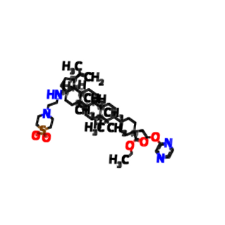 C=C(C)[C@@H]1CC[C@]2(NCCN3CCS(=O)(=O)CC3)CC[C@]3(C)[C@H](CC[C@@H]4[C@@]5(C)CC=C(C6=CC[C@@](CCOc7cnccn7)(C(=O)OCC)CC6)C(C)(C)[C@@H]5CC[C@]43C)[C@@H]12